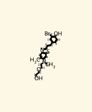 Cc1cc2nc(C=Cc3ccc(O)c(Br)c3)sc2cc1N(C)CCOCCO